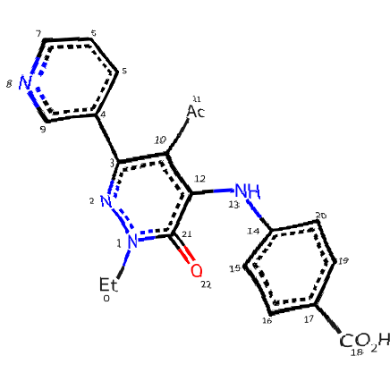 CCn1nc(-c2cccnc2)c(C(C)=O)c(Nc2ccc(C(=O)O)cc2)c1=O